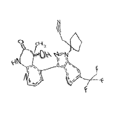 C[C@]1(O)C(=O)Nc2nccc(-c3nn(C4(CC#N)CCC4)c4cc(C(F)(F)F)ccc34)c21